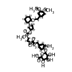 COc1ccc(CCO[C@@H]2CCCC[C@H]2N2CC[C@H](OC(=O)N(C)CCN(C)C(=O)OCc3ccc(OC4OC(C(=O)O)C(O)C(O)C4O)c(N)c3)C2)cc1OC